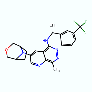 Cc1nnc(N[C@H](C)c2cccc(C(F)(F)F)c2)c2cc(N3C4CCC3COC4)cnc12